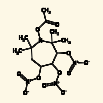 CC(=O)ON1C(C)(C)CC(O[N+](=O)[O-])C(O[N+](=O)[O-])C(O[N+](=O)[O-])C1(C)C